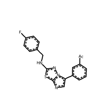 CC(=O)c1cccc(-c2cnc3sc(NCc4ccc(F)cc4)nn23)c1